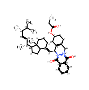 CCC(=O)O[C@H]1CCC2=C(C1)[C@H](/C=C1\CCCC3(C)C1CCC3[C@H](C)/C=C/[C@H](C)C(C)C)n1c(=O)c3ccccc3c(=O)n1C2